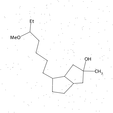 CCC(CCCCC1CCC2CC(C)(O)CC12)OC